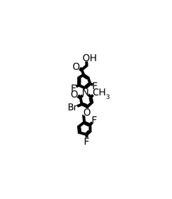 Cc1cc(OCc2ccc(F)cc2F)c(Br)c(=O)n1-c1c(F)cc(C(=O)CO)cc1F